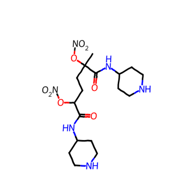 CC(CCC(O[N+](=O)[O-])C(=O)NC1CCNCC1)(O[N+](=O)[O-])C(=O)NC1CCNCC1